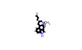 CN1C[C@H](CC[C]=S)CC2c3cccc4[nH]cc(c34)C[C@H]21